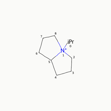 CC(C)[N+]12CCCC1CCC2